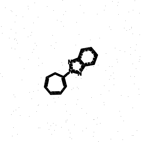 C1=CC=C(n2nc3ccccc3n2)CC=C1